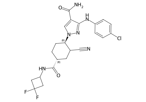 N#CC1C[C@H](C(=O)NC2CC(F)(F)C2)CC[C@H]1n1cc(C(N)=O)c(Nc2ccc(Cl)cc2)n1